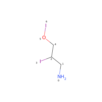 NCC(I)COI